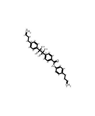 C=CCCc1ccc(OC(=O)c2ccc(C(F)(F)C(F)(F)c3ccc(CCC=C)cc3)cc2)cc1